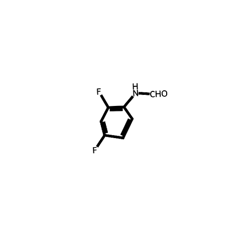 O=CNc1ccc(F)cc1F